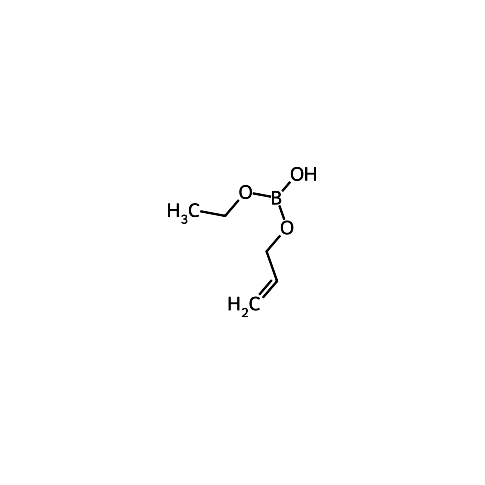 C=CCOB(O)OCC